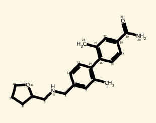 Cc1cc(CNCC2CCCO2)ccc1-c1ccc(C(N)=O)cc1C